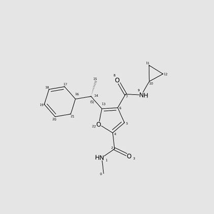 CNC(=O)c1cc(C(=O)NC2CC2)c([C@@H](C)C2C=CC=CC2)o1